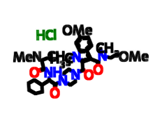 CNC(C)C(=O)NC(C(=O)N1CCN(C(=O)c2c(C(=O)N(C)CCOC)c3ccc(OC)cc3n2C)CC1)C1CCCCC1.Cl